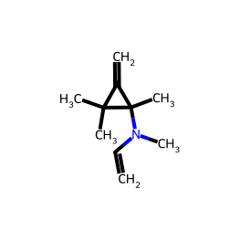 C=CN(C)C1(C)C(=C)C1(C)C